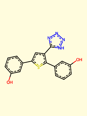 Oc1cccc(-c2cc(-c3nnn[nH]3)c(-c3cccc(O)c3)s2)c1